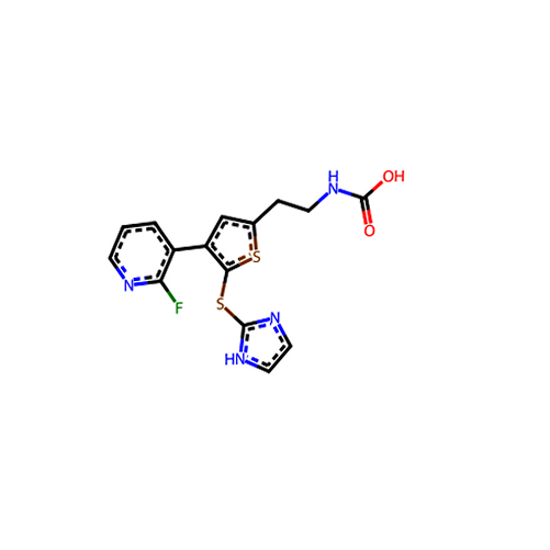 O=C(O)NCCc1cc(-c2cccnc2F)c(Sc2ncc[nH]2)s1